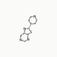 c1cc(-c2nc3cncnc3s2)ccn1